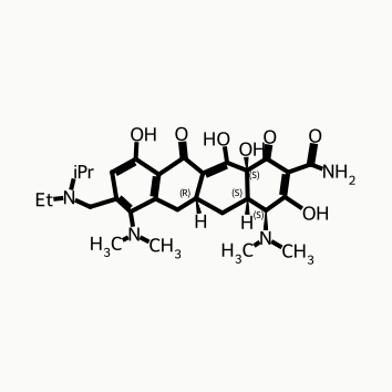 CCN(Cc1cc(O)c2c(c1N(C)C)C[C@H]1C[C@H]3[C@H](N(C)C)C(O)=C(C(N)=O)C(=O)[C@@]3(O)C(O)=C1C2=O)C(C)C